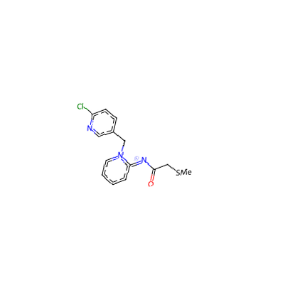 CSCC(=O)/N=c1\ccccn1Cc1ccc(Cl)nc1